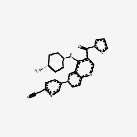 N#Cc1ccc(-c2ccc3ncc(C(=O)c4cccs4)c(N[C@H]4CC[C@H](N)CC4)c3c2)cn1